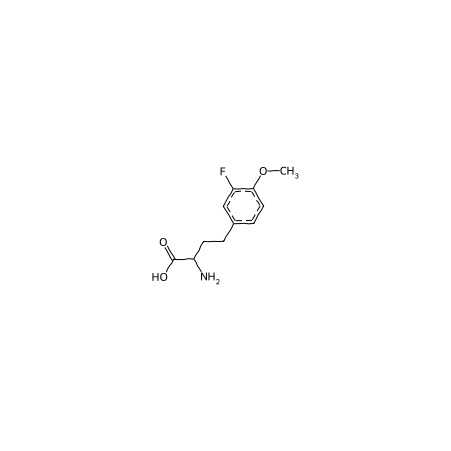 COc1ccc(CCC(N)C(=O)O)cc1F